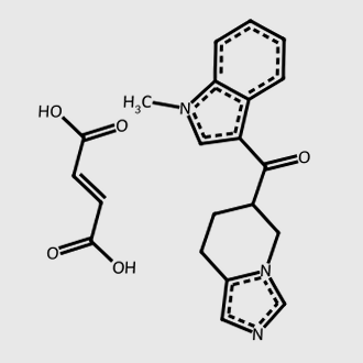 Cn1cc(C(=O)C2CCc3cncn3C2)c2ccccc21.O=C(O)C=CC(=O)O